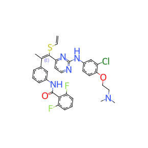 C=CS/C(=C(\C)c1cccc(NC(=O)c2c(F)cccc2F)c1)c1ccnc(Nc2ccc(OCCN(C)C)c(Cl)c2)n1